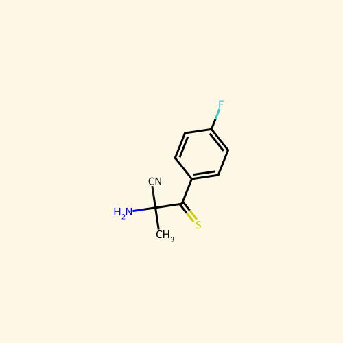 CC(N)(C#N)C(=S)c1ccc(F)cc1